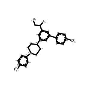 CC(=O)C(CC(C)C)c1cc(-c2ccc(C(F)(F)F)cc2)cc(C2CCN(c3ccc(C(F)(F)F)cc3)CC2)c1